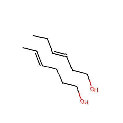 CC=CCCCO.CCC=CCCO